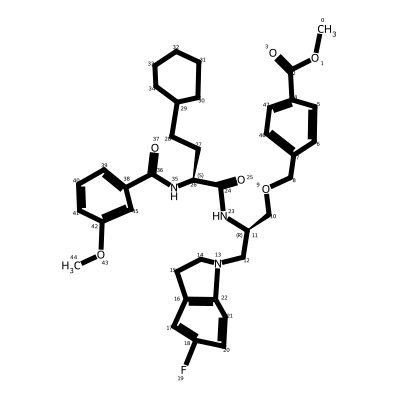 COC(=O)c1ccc(COC[C@@H](CN2CCc3cc(F)ccc32)NC(=O)[C@H](CCC2CCCCC2)NC(=O)c2cccc(OC)c2)cc1